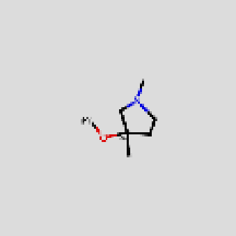 CC(C)O[C@@]1(C)CCN(C)C1